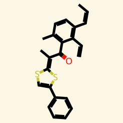 C=Cc1c(/C=C\C)ccc(C)c1C(=O)/C(C)=C1/SC=C(c2ccccc2)S1